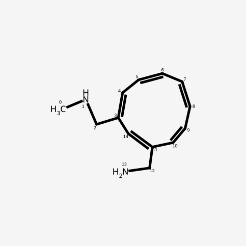 CNCc1cccccccc(CN)c1